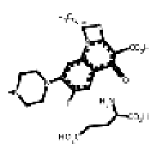 C[C@@H]1Sc2c(C(=O)O)c(=O)c3cc(F)c(N4CCNCC4)cc3n21.NC(CCC(=O)O)C(=O)O